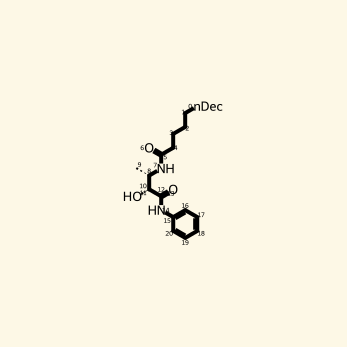 CCCCCCCCCCCCCCC(=O)N[C@@H](C)[C@@H](O)C(=O)Nc1ccccc1